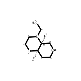 CCN1CCO[C@@H]2CCNC[C@@H]21